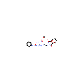 CC(C)(C)OC(=O)N/C(=N\C(=O)Nc1ccccc1)NCCN1C(=O)C2C3C=CC(O3)C2C1=O